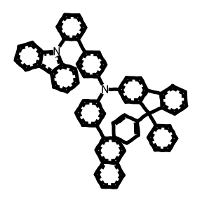 C1=CC(C2(c3ccccc3)c3ccccc3-c3ccc(N(c4ccc(-c5ccccc5-n5c6ccccc6c6ccccc65)cc4)c4cccc(-c5ccc6ccccc6c5)c4)cc32)=CCC1